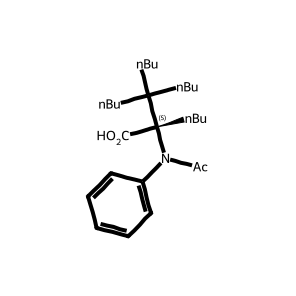 CCCCC(CCCC)(CCCC)[C@@](CCCC)(C(=O)O)N(C(C)=O)c1ccccc1